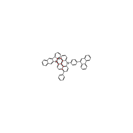 c1ccc(-c2ccc(N(c3ccc(-c4cc5ccccc5c5ccccc45)cc3)c3ccccc3-c3ccccc3-n3c4ccccc4c4cc5ccccc5cc43)c(-c3ccccc3)c2)cc1